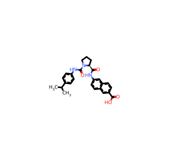 CC(C)c1ccc(NC(=O)N2CCC[C@H]2C(=O)Nc2ccc3cc(C(=O)O)ccc3c2)cc1